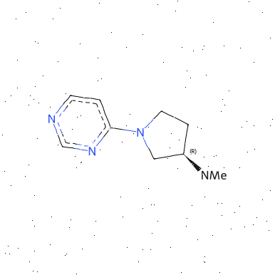 CN[C@@H]1CCN(c2ccncn2)C1